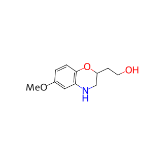 COc1ccc2c(c1)NCC(CCO)O2